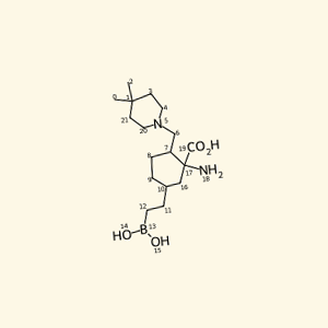 CC1(C)CCN(CC2CCC(CCB(O)O)CC2(N)C(=O)O)CC1